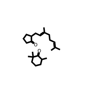 CC(C)=CCC/C(C)=C/CC1CCCC1=O.CC1CCCC(C)(C)C1=O